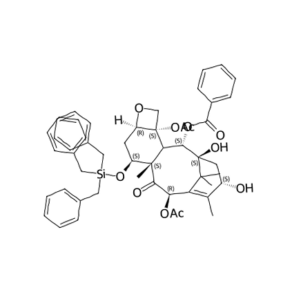 CC(=O)O[C@H]1C(=O)[C@@]2(C)C([C@H](OC(=O)c3ccccc3)[C@]3(O)C[C@H](O)C(C)=C1C3(C)C)[C@]1(OC(C)=O)CO[C@@H]1C[C@@H]2O[Si](Cc1ccccc1)(Cc1ccccc1)Cc1ccccc1